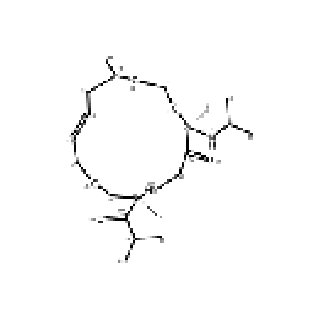 CC(C)N[C@]1(C)CCCN(C)C/C=C/CCC[C@](C)(C(=O)C(C)C)NCC1=O